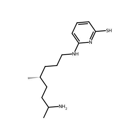 CC(N)CC[C@H](C)CCCNc1cccc(S)n1